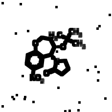 C[Si](C)(C)O[C@H]1CCOc2ccc([N+](=O)[O-])cc2[C@@H]1N1CCCC1=O